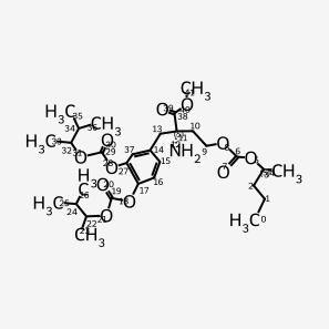 CCC[C@H](C)OC(=O)OCC[C@@](N)(Cc1ccc(OC(=O)OC(C)C(C)C)c(OC(=O)OC(C)C(C)C)c1)C(=O)OC